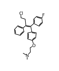 CN(C)CCOc1ccc(/C(=C(/CCCl)c2ccccc2)c2ccc(F)cc2)cc1